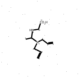 C=CCN(CC=C)C(C)NCC(=O)O